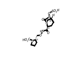 O=C(NOC[C@@H]1CCCN1C(=O)O)[C@@H]1CC[C@@H]2CN1C(=O)N2OS(=O)(=O)O